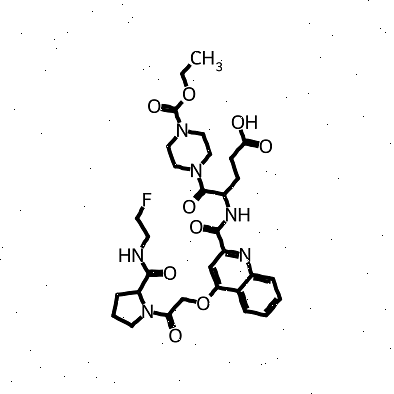 CCOC(=O)N1CCN(C(=O)C(CCC(=O)O)NC(=O)c2cc(OCC(=O)N3CCCC3C(=O)NCCF)c3ccccc3n2)CC1